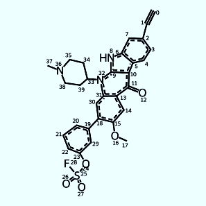 C#Cc1ccc2c(c1)[nH]c1c2c(=O)c2cc(OC)c(-c3cccc(OS(=O)(=O)F)c3)cc2n1C1CCN(C)CC1